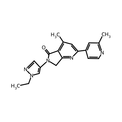 CCn1cc(N2Cc3nc(-c4ccnc(C)c4)cc(C)c3C2=O)cn1